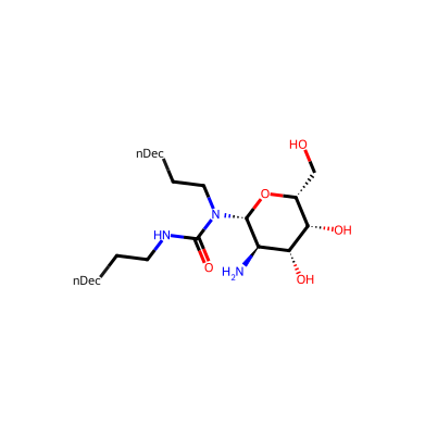 CCCCCCCCCCCCNC(=O)N(CCCCCCCCCCCC)[C@@H]1O[C@H](CO)[C@H](O)[C@H](O)[C@H]1N